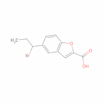 CCC(Br)c1ccc2oc(C(=O)O)cc2c1